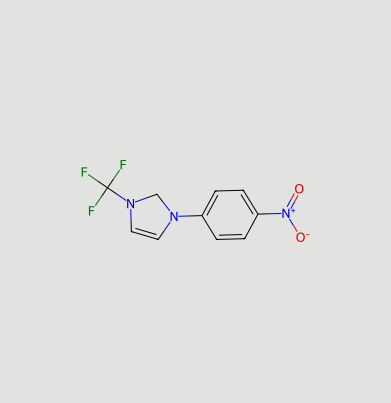 O=[N+]([O-])c1ccc(N2C=CN(C(F)(F)F)C2)cc1